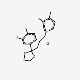 Cc1cc[n+](CCCC2(c3ccc(C)c(F)c3)OCCO2)cc1C.[Cl-]